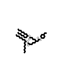 CCCCCCCC(CCCCCCC)OC(=O)CCCC(CCCC1OC1OC(CCCCCCC)CCCCCCC)CC(=O)SC1CCC(CC)CC1